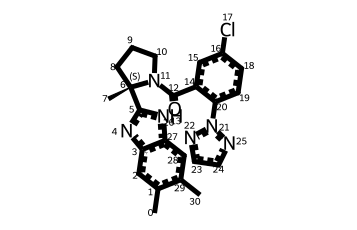 Cc1cc2nc([C@]3(C)CCCN3C(=O)c3cc(Cl)ccc3-n3nccn3)[nH]c2cc1C